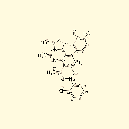 C=C(/N=C(\C=C(/N)c1ccc(Cl)c(F)c1)N1CCN(c2ncccc2Cl)C[C@H]1C)N1CCC[C@H]1C